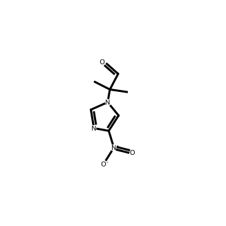 CC(C)(C=O)n1cnc([N+](=O)[O-])c1